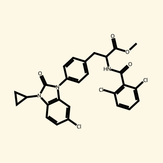 COC(=O)C(Cc1ccc(-n2c(=O)n(C3CC3)c3ccc(Cl)cc32)cc1)NC(=O)c1c(Cl)cccc1Cl